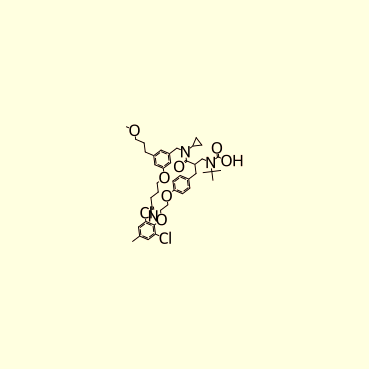 COCCCc1cc(CN(C(=O)C(Cc2ccc(OCCOc3c(Cl)cc(C)cc3Cl)cc2)CN(C(=O)O)C(C)(C)C)C2CC2)cc(OCCCC#N)c1